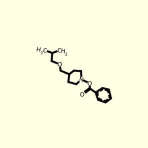 CC(C)COCC1CCN(OC(=O)c2ccccc2)CC1